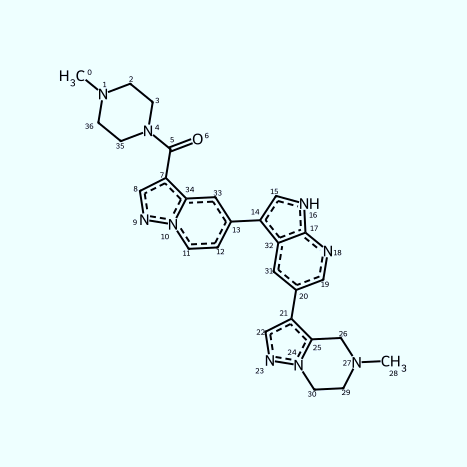 CN1CCN(C(=O)c2cnn3ccc(-c4c[nH]c5ncc(-c6cnn7c6CN(C)CC7)cc45)cc23)CC1